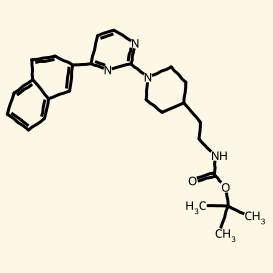 CC(C)(C)OC(=O)NCCC1CCN(c2nccc(-c3ccc4ccccc4c3)n2)CC1